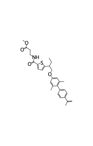 C=C(C)c1ccc(-c2c(C)cc(OCC(CC)c3ccc(C(=O)NCCC(=O)OC)s3)cc2C)cc1